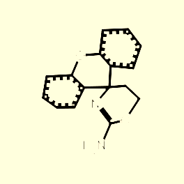 NC1=NC2(CCO1)c1ccccc1Oc1ccccc12